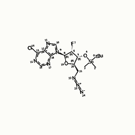 CC(C)(C)[Si](C)(C)O[C@H]1[C@@H](F)[C@H](n2cnc3c(Cl)ncnc32)O[C@@H]1CN=[N+]=[N-]